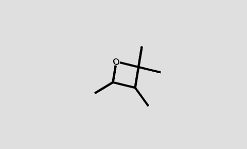 CC1OC(C)(C)C1C